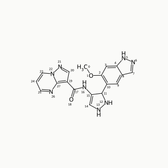 COc1cc2[nH]ncc2cc1C1NNC=C1NC(=O)c1cnn2cccnc12